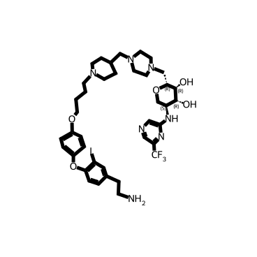 NCCc1ccc(Oc2ccc(OCCCCN3CCC(CN4CCN(C[C@H]5OC[C@H](Nc6cncc(C(F)(F)F)n6)[C@@H](O)[C@H]5O)CC4)CC3)cc2)c(I)c1